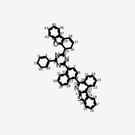 C1=CC(c2nc(-c3ccc(-c4nc5sc6ccccc6c5c5ccccc45)c4ccccc34)nc(C3CC=Cc4c3oc3ccccc43)n2)=CCC1